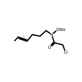 C/C=C/CCCN(OC)C(=O)CCl